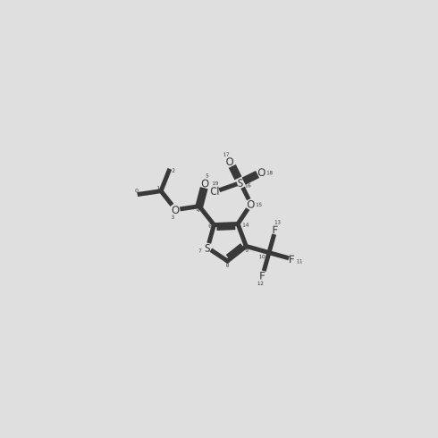 CC(C)OC(=O)c1scc(C(F)(F)F)c1OS(=O)(=O)Cl